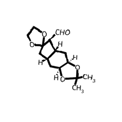 CC1(C)O[C@H]2C[C@@H]3CC4(OCCO4)[C@@H](C=O)[C@@H]3C[C@H]2O1